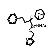 C1CC2CC(C1)O2.CC(=O)N[C@@H](SCc1ccco1)C(=O)CCc1ccccc1